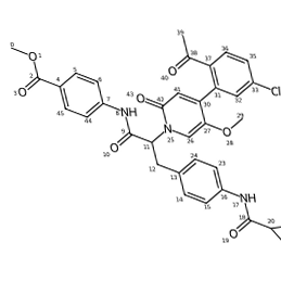 COC(=O)c1ccc(NC(=O)C(Cc2ccc(NC(=O)C3CC3)cc2)n2cc(OC)c(-c3cc(Cl)ccc3C(C)=O)cc2=O)cc1